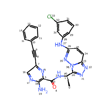 C[C@@H](NC(=O)c1nc(C#Cc2ccccc2)cnc1N)c1nnc2ccc(Nc3cccc(Cl)c3)nn12